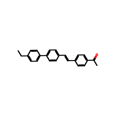 CCc1ccc(-c2ccc(/C=C/c3ccc(C(C)=O)cc3)cc2)cc1